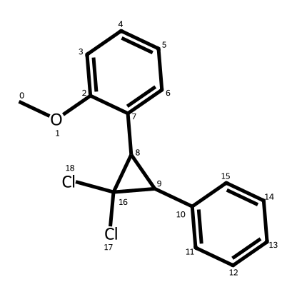 COc1ccccc1C1C(c2ccccc2)C1(Cl)Cl